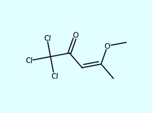 CO/C(C)=C\C(=O)C(Cl)(Cl)Cl